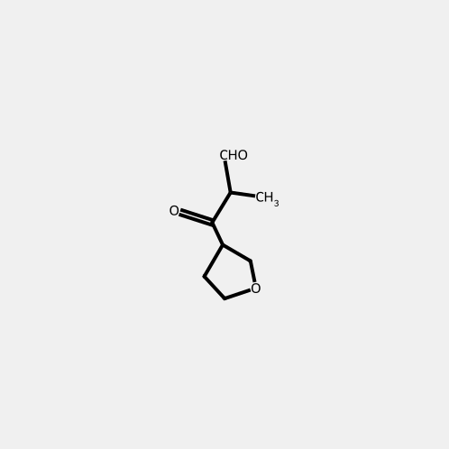 CC(C=O)C(=O)C1CCOC1